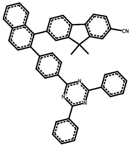 CC1(C)c2cc(C#N)ccc2-c2ccc(-c3c(-c4ccc(-c5nc(-c6ccccc6)nc(-c6ccccc6)n5)cc4)ccc4ccccc34)cc21